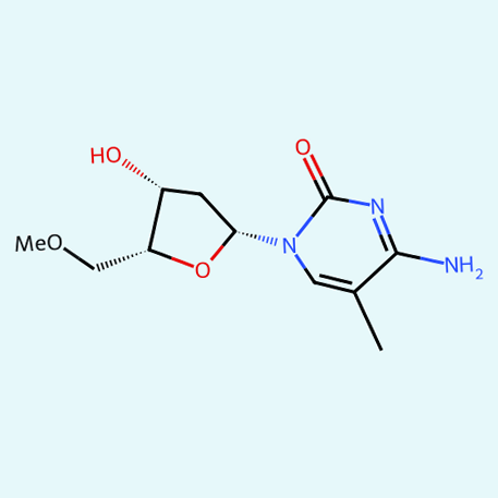 COC[C@H]1O[C@@H](n2cc(C)c(N)nc2=O)C[C@H]1O